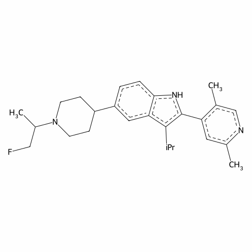 Cc1cc(-c2[nH]c3ccc(C4CCN(C(C)CF)CC4)cc3c2C(C)C)c(C)cn1